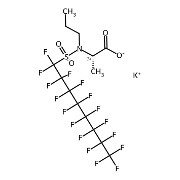 CCCN([C@@H](C)C(=O)[O-])S(=O)(=O)C(F)(F)C(F)(F)C(F)(F)C(F)(F)C(F)(F)C(F)(F)C(F)(F)C(F)(F)F.[K+]